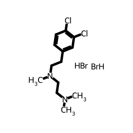 Br.Br.CN(C)CCN(C)CCc1ccc(Cl)c(Cl)c1